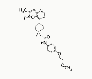 COCCOc1ccc(NC(=O)[C@@H]2CC23CCC(c2ccnc4cc(C)c(F)cc24)CC3)cc1